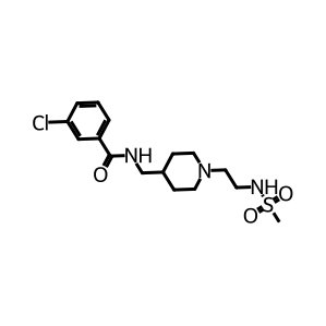 CS(=O)(=O)NCCN1CCC(CNC(=O)c2cccc(Cl)c2)CC1